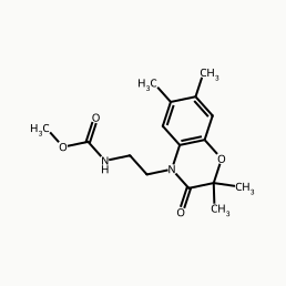 COC(=O)NCCN1C(=O)C(C)(C)Oc2cc(C)c(C)cc21